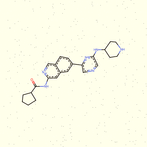 O=C(Nc1cc2cc(-c3cncc(NC4CCNCC4)n3)ccc2cn1)C1CCCC1